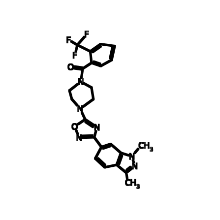 Cc1nn(C)c2cc(-c3noc(N4CCN(C(=O)c5ccccc5C(F)(F)F)CC4)n3)ccc12